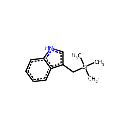 [CH2][Si](C)(C)Cc1c[nH]c2ccccc12